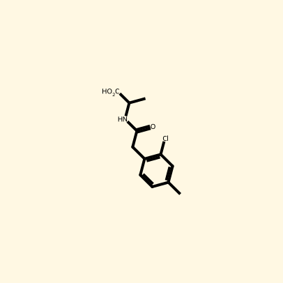 Cc1ccc(CC(=O)NC(C)C(=O)O)c(Cl)c1